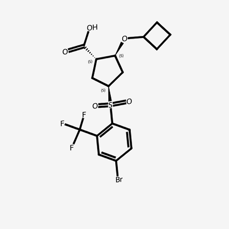 O=C(O)[C@H]1C[C@H](S(=O)(=O)c2ccc(Br)cc2C(F)(F)F)C[C@@H]1OC1CCC1